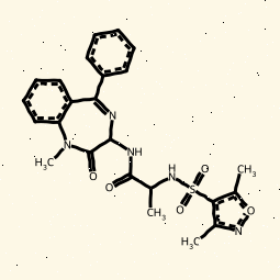 Cc1noc(C)c1S(=O)(=O)NC(C)C(=O)NC1N=C(c2ccccc2)c2ccccc2N(C)C1=O